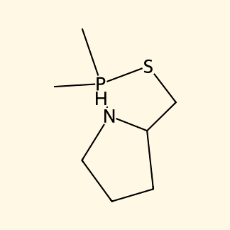 C[PH]1(C)SCC2CCCN21